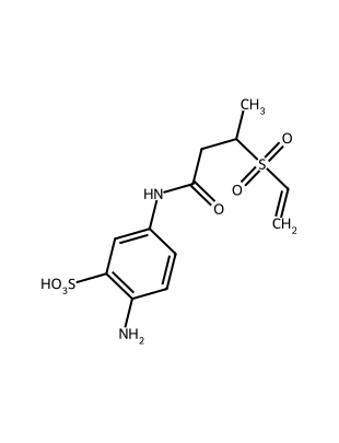 C=CS(=O)(=O)C(C)CC(=O)Nc1ccc(N)c(S(=O)(=O)O)c1